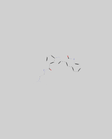 CN(C)CCNC(=O)c1cccc2[nH]c(-c3cc4ccccc4[nH]c3=O)cc12